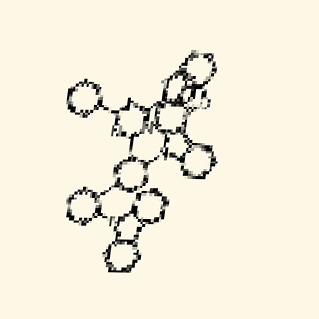 c1ccc(-c2nc(-c3ccccc3)nc(-c3cc(-c4ccccc4-n4c5ccccc5c5ccccc54)ccc3-n3c4ccccc4c4c5oc6ccccc6c5ccc43)n2)cc1